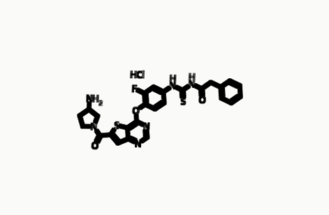 Cl.NC1CCN(C(=O)c2cc3ncnc(Oc4ccc(NC(=S)NC(=O)Cc5ccccc5)cc4F)c3s2)C1